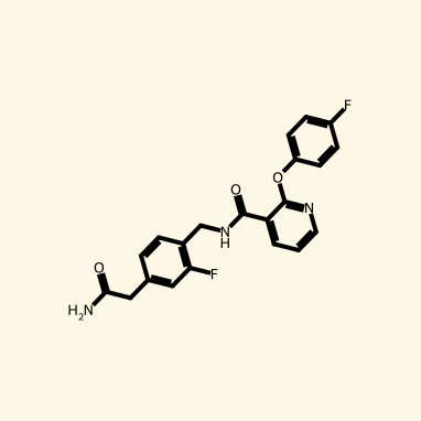 NC(=O)Cc1ccc(CNC(=O)c2cccnc2Oc2ccc(F)cc2)c(F)c1